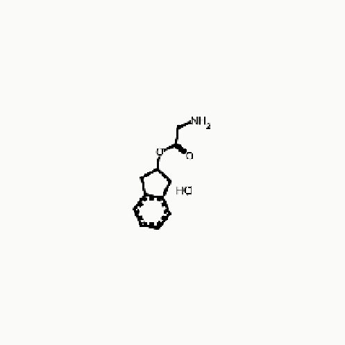 Cl.NCC(=O)OC1Cc2ccccc2C1